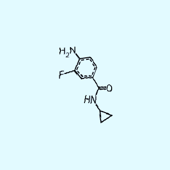 Nc1ccc(C(=O)NC2CC2)cc1F